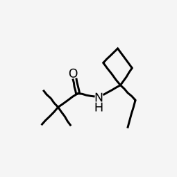 CCC1(NC(=O)C(C)(C)C)CCC1